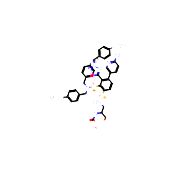 COc1ccc(CN(Cc2ccc(OC)cc2)S(=O)(=O)c2c(S(=O)(=O)NCC(CO)NC(=O)OC(C)(C)C)ccc(-c3ccc(N)nc3)c2-c2nnn(Cc3ccc(OC)cc3)n2)cc1